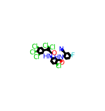 N#Cc1cc(F)ccc1NC(=O)c1cc(NC(=O)C2C(c3cc(Cl)c(Cl)c(Cl)c3)C2(Cl)Cl)ccc1Cl